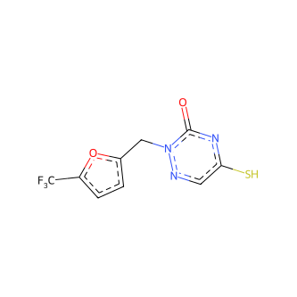 O=c1nc(S)cnn1Cc1ccc(C(F)(F)F)o1